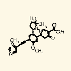 COc1cc2c(cc1C#Cc1cncn1C)C1CCC(C)(C)N1n1cc(C(=O)O)c(=O)cc1-2